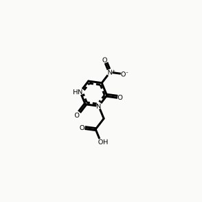 O=C(O)Cn1c(=O)[nH]cc([N+](=O)[O-])c1=O